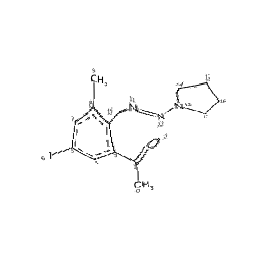 CC(=O)c1cc(I)cc(C)c1N=NN1CCCC1